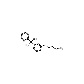 COCCOc1cccc(C(N)(O)c2ccccn2)n1